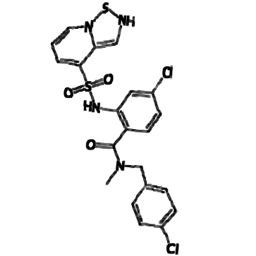 CN(Cc1ccc(Cl)cc1)C(=O)c1ccc(Cl)cc1NS(=O)(=O)C1=CC=CN2SNC=C12